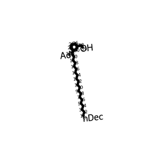 CCCCCCCCCCCCCCCCCCCCCCCCCCCCCCN(C(C)=O)c1cccc(CO)c1